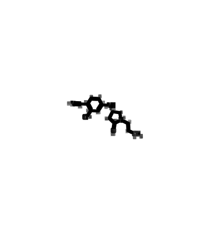 CC=CN1C[C@@H](Nc2ccc(C#N)c(Cl)c2)CC1=O